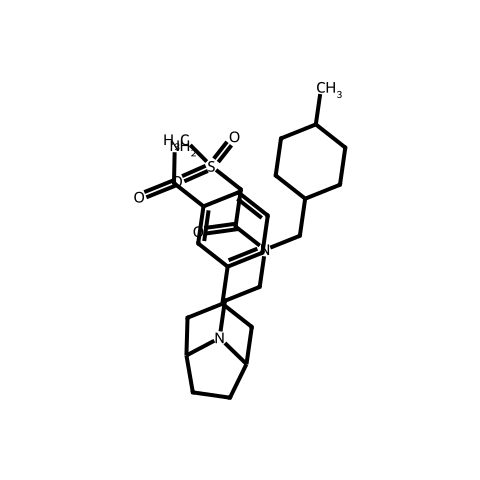 CC1CCC(CN(CCN2C3CCC2CC(c2cccc(C(N)=O)c2)C3)C(=O)CS(C)(=O)=O)CC1